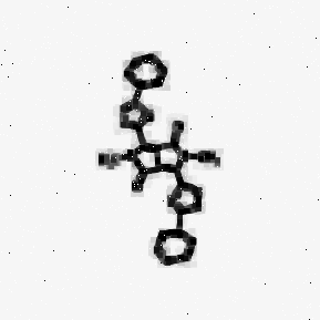 CN1C(=O)C2=C(c3ccc(-c4ccccc4)s3)N(C)C(=O)C2=C1c1ccc(-c2ccccc2)s1